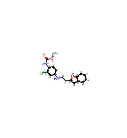 CCCOC(=O)Nc1ccc(NCCc2cc3ccccc3o2)cc1Cl